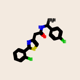 O=C(Cc1csc(-c2ccccc2Cl)n1)NC(C(=O)O)c1ccc(Cl)cc1